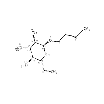 CCCCO[C@H]1O[C@H](CC)[C@@H](O)[C@H](O)[C@H]1O